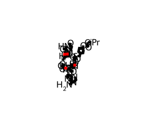 CC(C)OC(=O)Oc1ccc(CSP2(=O)OC[C@H]3O[C@@H](n4cnc5c(N)ncnc54)[C@H](OP(=O)(O)OC[C@H]4O[C@@H](n5ccc(=O)[nH]c5=O)[C@H](O2)[C@@H]4F)[C@@H]3F)cc1